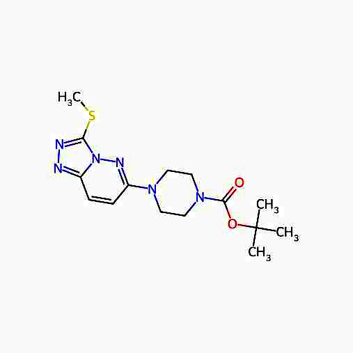 CSc1nnc2ccc(N3CCN(C(=O)OC(C)(C)C)CC3)nn12